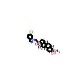 C[C@@]1(O)CC[C@@]2(C)[C@H](CC[C@@H]3[C@@H]2CC[C@]2(C)[C@@H](C(=O)Cn4ncc5ccc(Cl)cc54)CC[C@@H]32)C1